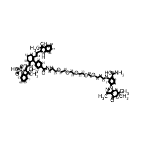 Cc1nn(-c2ccc(C(N)=O)c(NCCCOCCOCCOCCOCCOCCCNC(=O)c3ccc(C4=C(/C=C/C5Nc6ccccc6C5(C)C)CCC/C4=C\C=C4\N(S(=O)(=O)O)c5ccccc5C4(C)C)cc3)c2)c2c1C(=O)CC(C)(C)C2